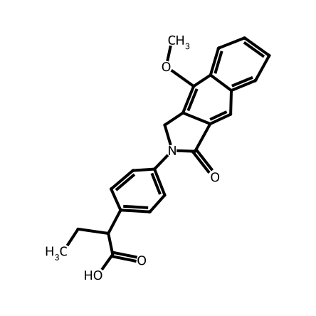 CCC(C(=O)O)c1ccc(N2Cc3c(cc4ccccc4c3OC)C2=O)cc1